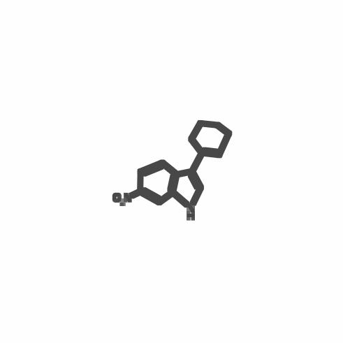 O=[N+]([O-])c1ccc2c(C3=CCCCC3)c[nH]c2c1